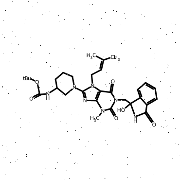 CC(C)=CCn1c(N2CCCC(NC(=O)OC(C)(C)C)C2)nc2c1c(=O)n(CC1(O)NC(=O)c3ccccc31)c(=O)n2C